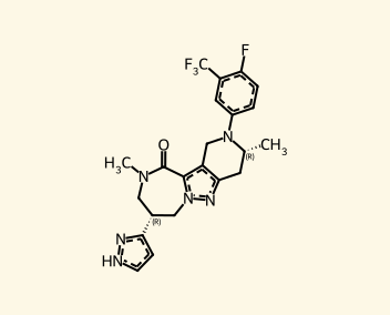 C[C@@H]1Cc2nn3c(c2CN1c1ccc(F)c(C(F)(F)F)c1)C(=O)N(C)C[C@@H](c1cc[nH]n1)C3